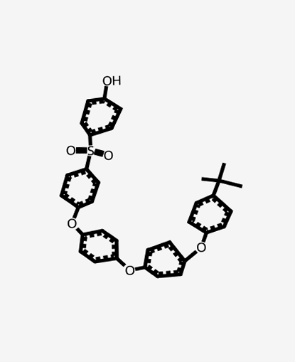 CC(C)(C)c1ccc(Oc2ccc(Oc3ccc(Oc4ccc(S(=O)(=O)c5ccc(O)cc5)cc4)cc3)cc2)cc1